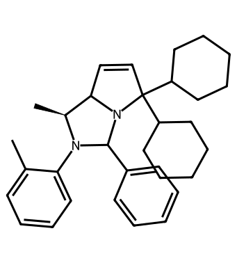 Cc1ccccc1N1C(c2ccccc2)N2C(C=CC2(C2CCCCC2)C2CCCCC2)[C@@H]1C